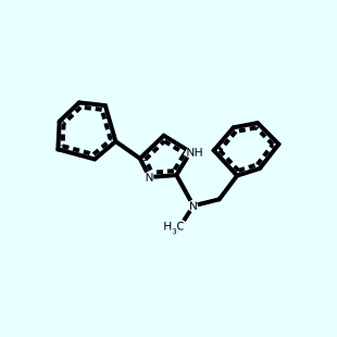 CN(Cc1ccccc1)c1nc(-c2ccccc2)c[nH]1